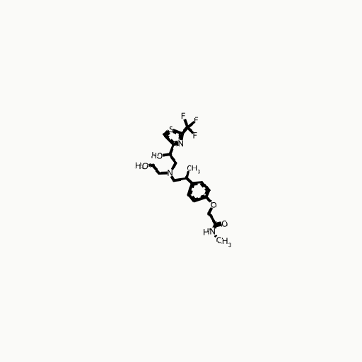 CNC(=O)COc1ccc(C(C)CN(CCO)CC(O)c2csc(C(F)(F)F)n2)cc1